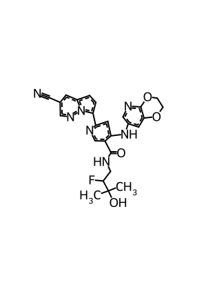 CC(C)(O)C(F)CNC(=O)c1cnc(-c2ccc3cc(C#N)cnn23)cc1Nc1cnc2c(c1)OCCO2